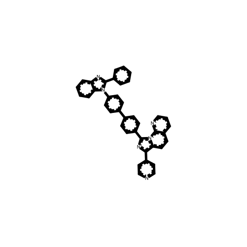 c1ccc(-c2nc3ccccc3n2-c2ccc(-c3ccc(-c4nc(-c5ccncc5)c5ccc6cccnc6n45)cc3)cc2)cc1